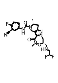 C[C@@H]1Cc2nn3c(c2CN1C(=O)Nc1ccc(F)c(C#N)c1)C(=O)N(C)O[C@@H](CNCC(F)F)C3